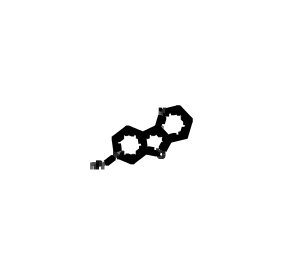 CCC[n+]1ccc2c(c1)oc1cccnc12